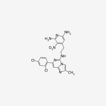 Cc1cn2c(NCCc3cc(N)nc(N)c3[N+](=O)[O-])nc(-c3ccc(Cl)cc3Cl)cc2n1